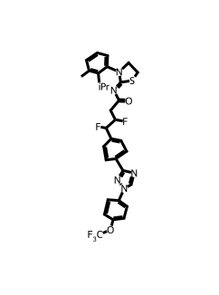 Cc1cccc(N2CCS/C2=N\C(=O)CC(F)C(F)c2ccc(-c3ncn(-c4ccc(OC(F)(F)F)cc4)n3)cc2)c1C(C)C